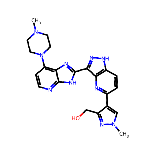 CN1CCN(c2ccnc3[nH]c(-c4n[nH]c5ccc(-c6cn(C)nc6CO)nc45)nc23)CC1